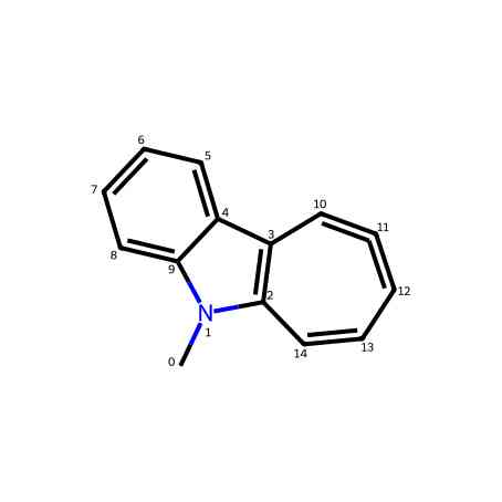 Cn1c2c(c3ccccc31)C=C=CC=C2